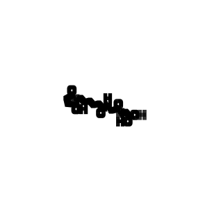 O=C(O)CNC(=O)CNC(=O)CCCCCN1C(=O)C=CC1O